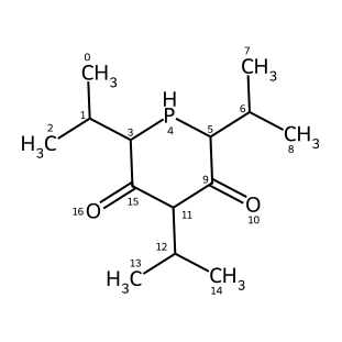 CC(C)C1PC(C(C)C)C(=O)C(C(C)C)C1=O